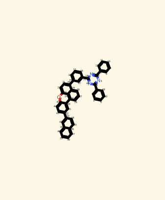 c1ccc(-c2nc(-c3ccccc3)nc(-c3cccc(-c4ccc5c6c(cccc46)-c4cc(-c6ccc7ccccc7c6)ccc4O5)c3)n2)cc1